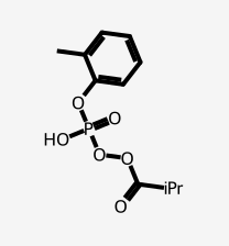 Cc1ccccc1OP(=O)(O)OOC(=O)C(C)C